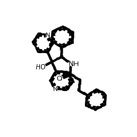 O=C(CCc1ccccc1)NC(c1ccccc1)C(O)(c1cccnc1)c1cccnc1